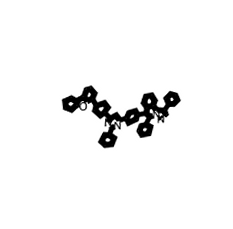 c1ccc(-c2nc(-c3ccc(-c4c(-c5ccccc5)n5ncc(-c6ccccc6)c5c5ccccc45)cc3)cc(-c3ccc(-c4cccc5c4oc4ccccc45)cc3)n2)cc1